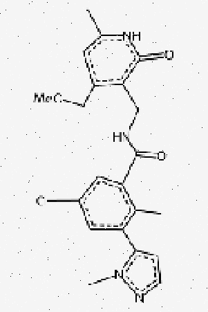 COCc1cc(C)[nH]c(=O)c1CNC(=O)c1cc(Cl)cc(-c2ccnn2C)c1C